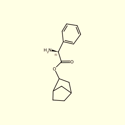 N[C@H](C(=O)OC1CC2CCC1C2)c1ccccc1